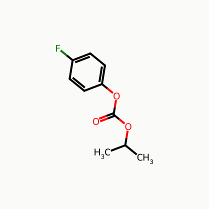 CC(C)OC(=O)Oc1ccc(F)cc1